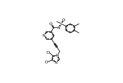 Cc1ccc(S(C)(=O)=NC(=O)c2cncc(C#CCn3cnc(Cl)c3Cl)c2)cc1C